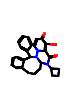 O=C1c2c(O)c(=O)ccn2N2C(c3ccccc3)c3ccccc3CCCC2N1C1CCC1